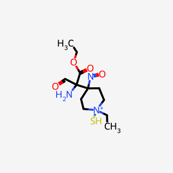 CCOC(=O)C(N)(C=O)C1(N=O)CC[N+](S)(CC)CC1